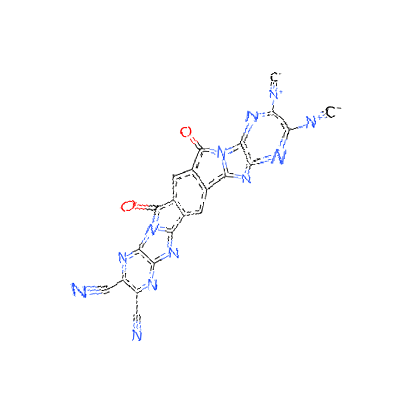 [C-]#[N+]c1nc2nc3c4cc5c(cc4c(=O)n3c2nc1[N+]#[C-])c(=O)n1c2nc(C#N)c(C#N)nc2nc51